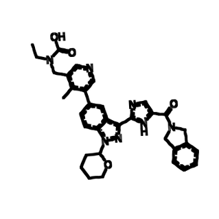 CCN(Cc1cncc(-c2ccc3c(c2)c(-c2ncc(C(=O)N4Cc5ccccc5C4)[nH]2)nn3C2CCCCO2)c1C)C(=O)O